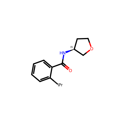 CC(C)c1ccccc1C(=O)N[C@H]1CCOC1